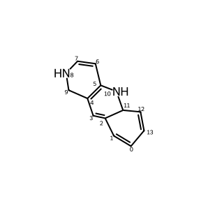 C1=CC2=CC3=C(C=CNC3)NC2C=C1